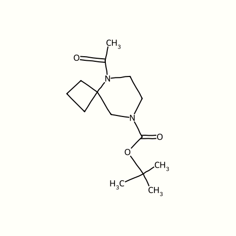 CC(=O)N1CCN(C(=O)OC(C)(C)C)CC12CCC2